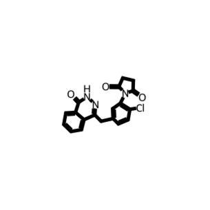 O=C1CCC(=O)N1c1cc(Cc2n[nH]c(=O)c3ccccc23)ccc1Cl